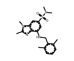 Cc1cccc(C)c1CNc1cc(S(=O)(=O)N(C)C)cc2c1nc(C)n2C